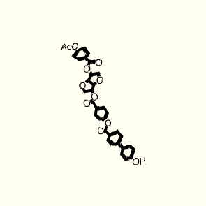 CC(=O)Oc1ccc(C(=O)OC2COC3C(OC(=O)c4ccc(OC(=O)c5ccc(-c6ccc(O)cc6)cc5)cc4)COC23)cc1